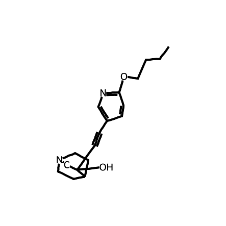 CCCCOc1ccc(C#CC2(O)CN3CCC2CC3)cn1